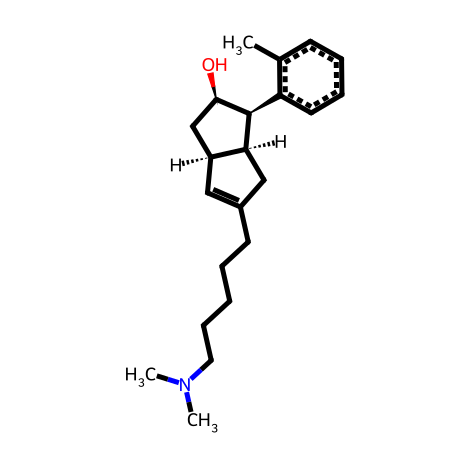 Cc1ccccc1[C@H]1[C@H]2CC(CCCCCN(C)C)=C[C@H]2C[C@H]1O